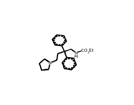 CCOC(=O)NCC(CCN1CCCC1)(c1ccccc1)c1ccccc1